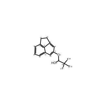 OC(Oc1cc2c3c(cccc3c1)CC2)C(F)(F)F